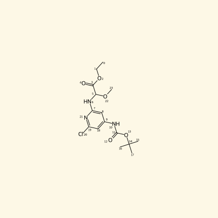 CCOC(=O)C(Nc1cc(NC(=O)OC(C)(C)C)cc(Cl)n1)OC